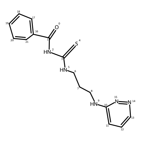 O=C(NC(=S)NCCCNc1cccnn1)c1ccccc1